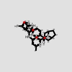 Cc1cc(Nc2cc(C)[nH]n2)nc(N2CC3CCC(C2)N3C(=O)c2ccc(-n3cc(F)cn3)nn2)n1